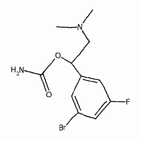 CN(C)CC(OC(N)=O)c1cc(F)cc(Br)c1